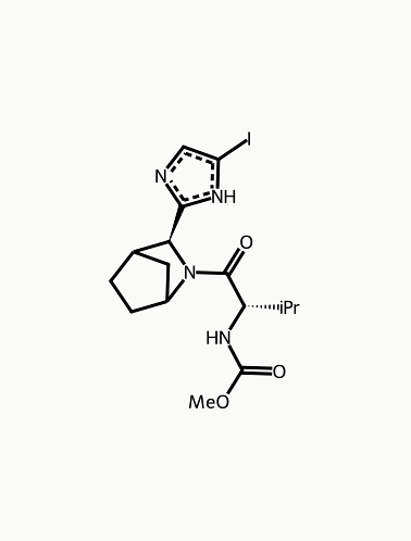 COC(=O)N[C@H](C(=O)N1C2CCC(C2)[C@H]1c1ncc(I)[nH]1)C(C)C